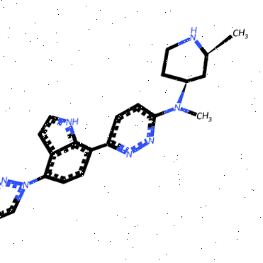 C[C@H]1C[C@@H](N(C)c2ccc(-c3ccc(-n4cccn4)c4cc[nH]c34)nn2)CCN1